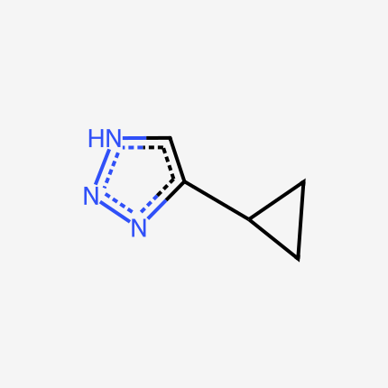 c1[nH]nnc1C1CC1